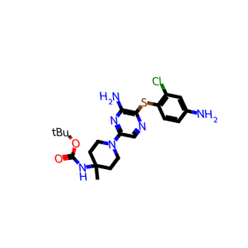 CC1(NC(=O)OC(C)(C)C)CCN(c2cnc(Sc3ccc(N)cc3Cl)c(N)n2)CC1